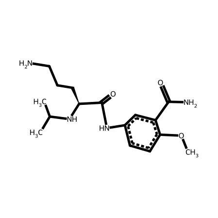 COc1ccc(NC(=O)[C@H](CCCN)NC(C)C)cc1C(N)=O